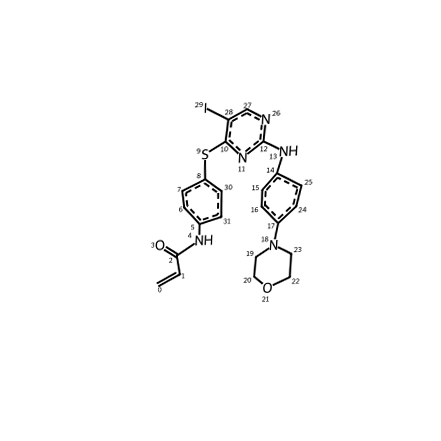 C=CC(=O)Nc1ccc(Sc2nc(Nc3ccc(N4CCOCC4)cc3)ncc2I)cc1